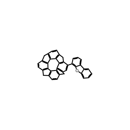 c1ccc2c(c1)oc1c(-c3cc4c5c6c3Cc3ccc7c(c3-6)-c3c(ccc6c3-c3c(ccc(c3-5)C4)C6)C7)cccc12